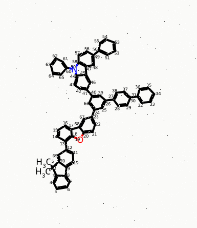 CC1(C)c2ccccc2-c2ccc(-c3cccc4c3oc3ccc(-c5cc(-c6ccc(-c7ccccc7)cc6)cc(-c6ccc7c(c6)c6cc(-c8ccccc8)ccc6n7-c6ccccc6)c5)cc34)cc21